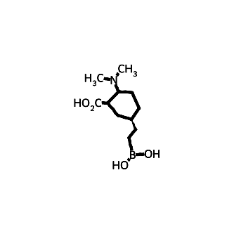 CN(C)C1CC[C@@H](CCB(O)O)CC1C(=O)O